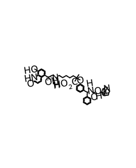 CC(CCCCCNC[C@@H](O)c1ccc(O)c2[nH]c(=O)ccc12)(Oc1cccc(C(NC(=O)O[C@H]2CN3CCC2CC3)c2ccccc2)c1)C(=O)O